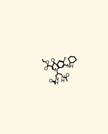 CCOC(=O)c1cn(C(CNC(C)=O)CNC(C)=O)c2cc(NC3CCCCC3)c(F)cc2c1=O